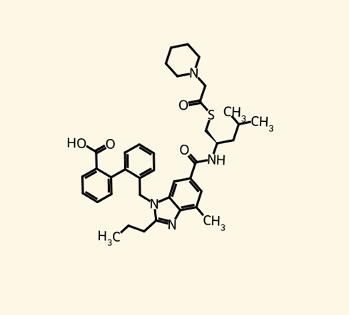 CCCc1nc2c(C)cc(C(=O)N[C@@H](CSC(=O)CN3CCCCC3)CC(C)C)cc2n1Cc1ccccc1-c1ccccc1C(=O)O